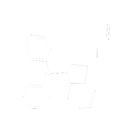 C=CCCC1CC([SiH](c2ccccc2)c2ccccc2)C2C=CC=CC12